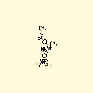 CCCCOC(=O)N1CC=C(c2c(C)noc2NS(=O)(=O)c2ccc(S(=O)(=O)N(C)C)cc2)CC1